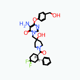 Nc1c(Oc2ccc(CO)cc2)ncn(CC2(O)CCN(C(=O)[C@@H]3CCC(F)(F)C[C@H]3c3ccccc3)CC2)c1=O